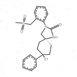 CC[C@]1(c2ccccc2)CC[C@]2(CC1)CN(c1ccccc1CS(C)(=O)=O)C(=O)N2